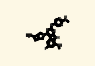 CNc1ncc(Oc2nc(N3CC4CC(N)C4C3)c3c(n2)[nH]c2c(NC)cc(F)cc23)cn1